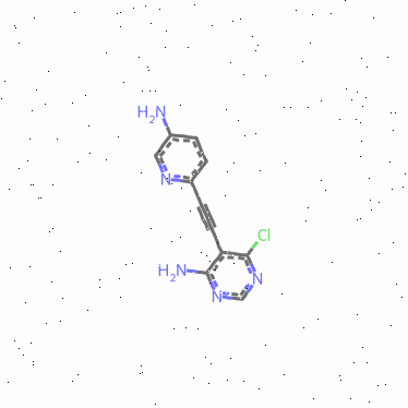 Nc1ccc(C#Cc2c(N)ncnc2Cl)nc1